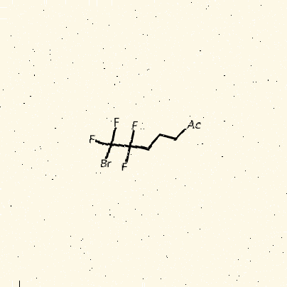 CC(=O)CCCC(F)(F)C(F)(F)Br